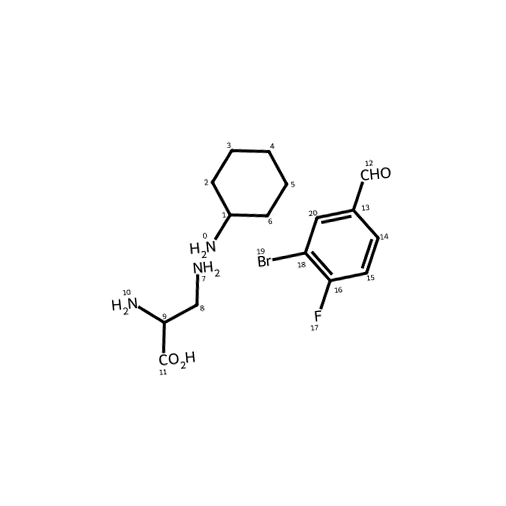 NC1CCCCC1.NCC(N)C(=O)O.O=Cc1ccc(F)c(Br)c1